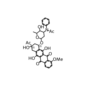 COc1cccc2c1C(=O)c1c(O)c3c(c(O)c1C2=O)C[C@@](O)(C(C)=O)C[C@@H]3OC1CC(N(C(C)=O)c2ccccc2)C(O)C(C)O1